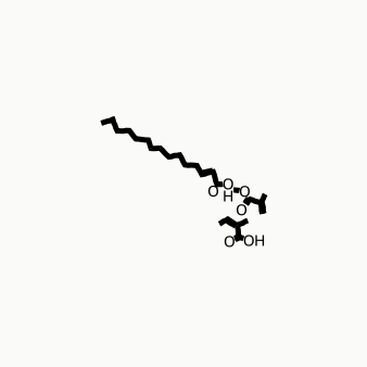 C=C(C)C(=O)OC.CC=C(C)C(=O)O.CCCCCCCCCCCCC=CC(=O)O